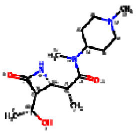 C[C@@H](O)[C@H]1C(=O)N[C@@H]1[C@@H](C)C(=O)N(C)C1CCN(C)CC1